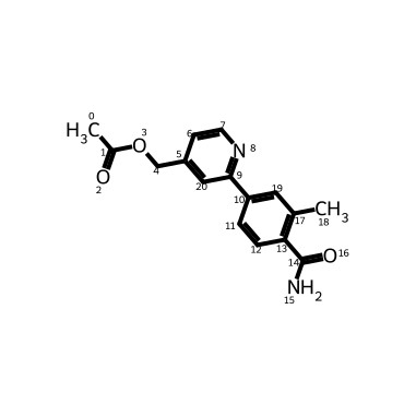 CC(=O)OCc1ccnc(-c2ccc(C(N)=O)c(C)c2)c1